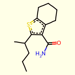 CCCC(C)c1sc2c(c1C(N)=O)CCCC2